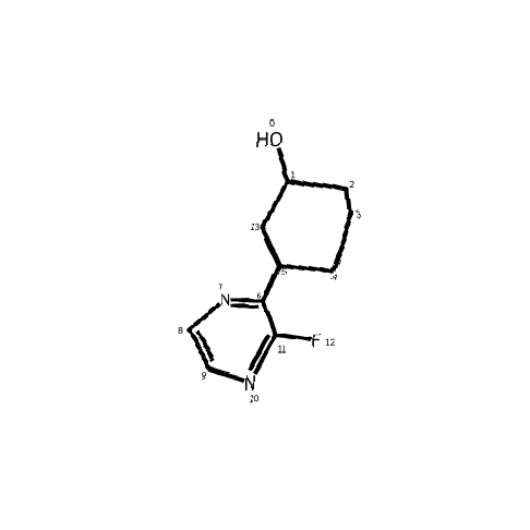 OC1CCCC(c2nccnc2F)C1